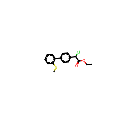 CCOC(=O)C(Cl)c1ccc(-c2ccccc2SC)cc1